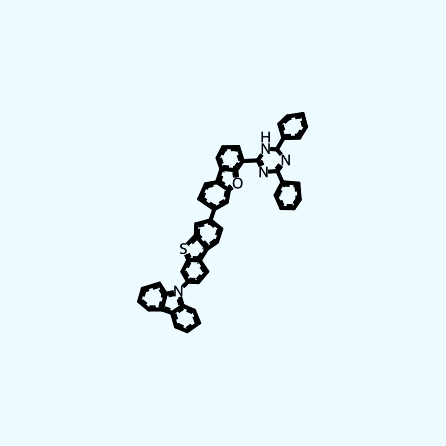 c1ccc(C2=NC(c3ccccc3)NC(c3cccc4c3oc3cc(-c5ccc6c(c5)sc5cc(-n7c8ccccc8c8ccccc87)ccc56)ccc34)=N2)cc1